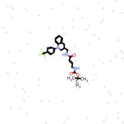 CC(C)(C)OC(=O)NC/C=C/C(=O)NCC1Cc2ccccc2N(c2ccc(C(F)(F)F)cc2)C1